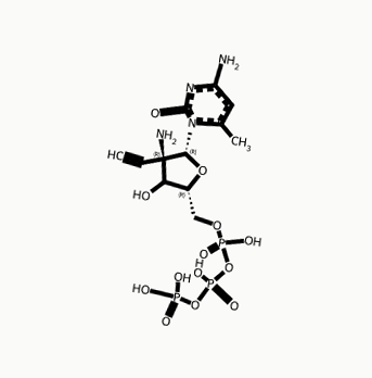 C#C[C@@]1(N)C(O)[C@@H](COP(=O)(O)OP(=O)(O)OP(=O)(O)O)O[C@H]1n1c(C)cc(N)nc1=O